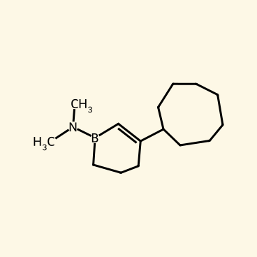 CN(C)B1C=C(C2CCCCCCC2)CCC1